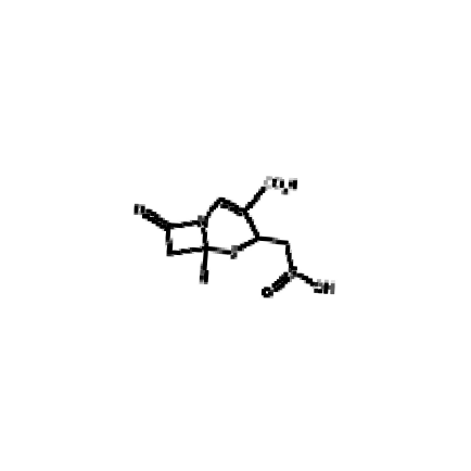 O=C(O)C1=CN2C(=O)C[C@H]2SC1CS(=O)O